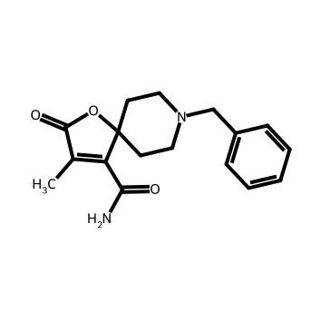 CC1=C(C(N)=O)C2(CCN(Cc3ccccc3)CC2)OC1=O